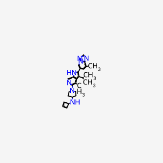 Cc1c(N2CCC(NC34CC(C3)C4)CC2)ncc2[nH]c(-c3cc(C)c4ncnn4c3)c(C(C)C)c12